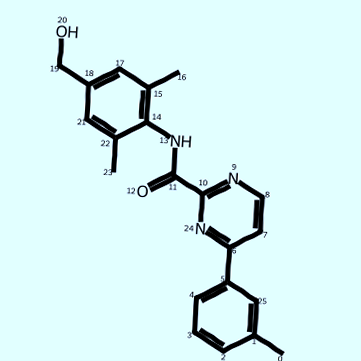 Cc1cccc(-c2ccnc(C(=O)Nc3c(C)cc(CO)cc3C)n2)c1